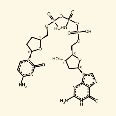 Nc1ccn([C@H]2CC[C@@H](COP(=O)(O)OP(=O)(O)OP(=O)(O)OC[C@H]3O[C@@H](n4cnc5c(=O)[nH]c(N)nc54)C[C@@H]3O)O2)c(=O)n1